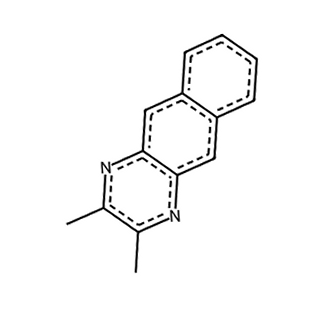 Cc1nc2cc3ccccc3cc2nc1C